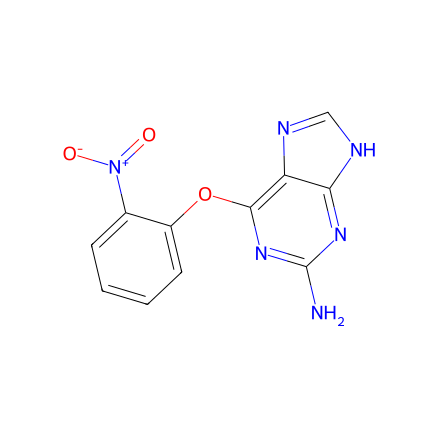 Nc1nc(Oc2ccccc2[N+](=O)[O-])c2nc[nH]c2n1